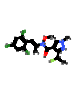 CON(C(=O)c1cn(C)nc1C(C)F)/C(C)=C/c1c(Cl)cc(Cl)cc1Cl